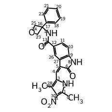 Cc1[nH]c(C=C2C(=O)Nc3ccc(C(=O)NC4(c5ccccc5)COC4)cc32)c(C)c1[N+](=O)[O-]